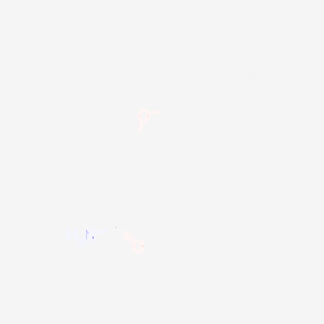 NC(=O)c1ccc(Oc2ccc(F)cc2)cc1